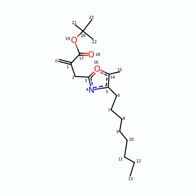 C=C(Cc1nc(CCCCCCCC)c(C)o1)C(=O)OC(C)(C)C